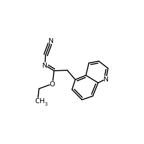 CCO/C(Cc1cccc2ncccc12)=N/C#N